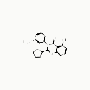 Cc1cccc(-n2c(C3CCCC3)nc3cccc(Cl)c3c2=O)c1